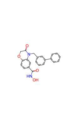 O=C(NO)c1ccc2c(c1)N(Cc1cccc(-c3ccccc3)c1)C(=O)CO2